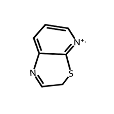 C1=C[N+]=C2SCC=NC2=C1